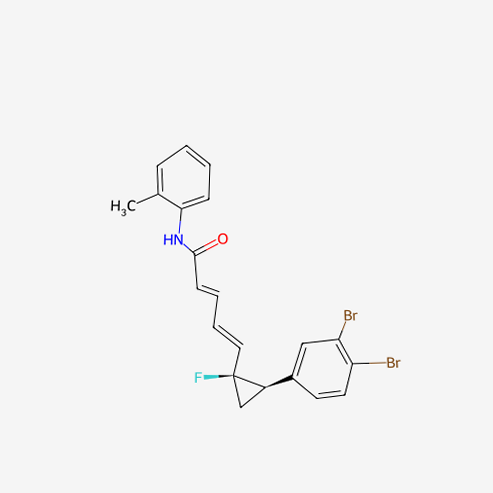 Cc1ccccc1NC(=O)/C=C/C=C/[C@@]1(F)C[C@@H]1c1ccc(Br)c(Br)c1